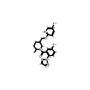 CC1CCC(COc2ccc(F)cn2)CN1C(=O)c1cc(F)ccc1-n1nccn1